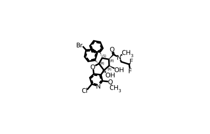 COc1nc(Cl)cc2c1[C@]1(O)[C@H](O)[C@H](C(=O)N(C)CC(F)F)[C@@H](c3ccccc3)[C@]1(c1ccc(Br)cc1)O2